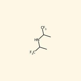 CC(NC(C)C(F)(F)F)C(F)(F)F